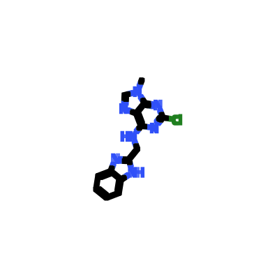 Cn1cnc2c(NCc3nc4ccccc4[nH]3)nc(Cl)nc21